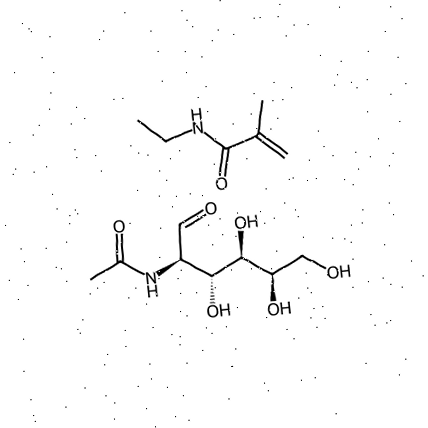 C=C(C)C(=O)NCC.CC(=O)N[C@@H](C=O)[C@@H](O)[C@@H](O)[C@H](O)CO